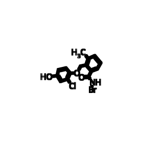 Cc1cccc(C(=O)NBr)c1COc1ccc(O)cc1Cl